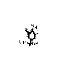 Cc1cc(C(C)(O)O)cc(I)c1N